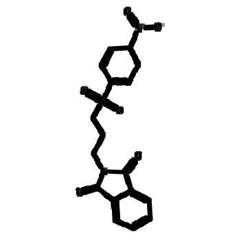 O=C1c2ccccc2C(=O)N1CCCS(=O)(=O)C1=CC[C]([N+](=O)[O-])C=C1